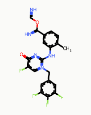 Cc1ccc(C(=N)OC=N)cc1Nc1nc(=O)c(F)cn1Cc1cc(F)c(F)c(F)c1